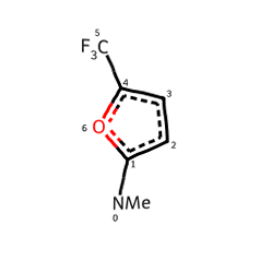 CNc1ccc(C(F)(F)F)o1